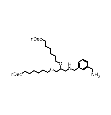 CCCCCCCCCCCCCCCCOCC(CNCc1cccc(CN)c1)OCCCCCCCCCCCCCCCC